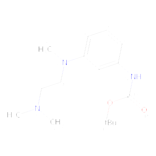 CN(C)CCN(C)c1cccc(NC(=O)OC(C)(C)C)c1